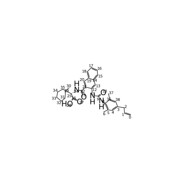 C=CCc1cc(C)c(NC(=O)Nc2cc3ccccc3cc2C(=O)N[C@H](C(=O)O)C2(C)CCCCC2)c(C)c1